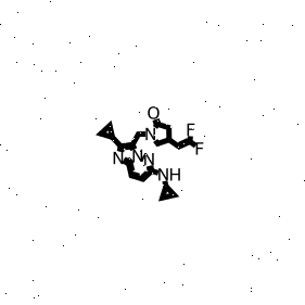 O=C1CC(C=C(F)F)CN1Cc1c(C2CC2)nc2ccc(NC3CC3)nn12